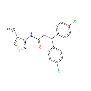 O=C(CC(c1ccc(Cl)cc1)c1ccc(Cl)cc1)Nc1cscc1C(=O)O